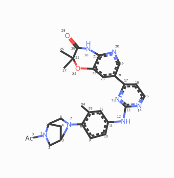 CC(=O)N1CC2CC1CN2c1ccc(Nc2nccc(-c3cnc4c(c3)OC(C)(C)C(=O)N4)n2)cc1C